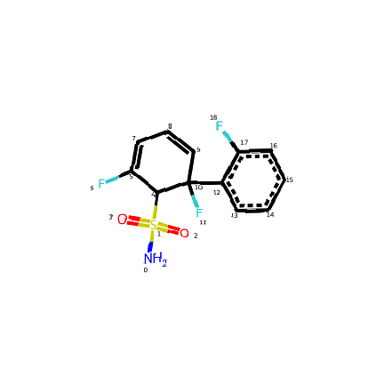 NS(=O)(=O)C1C(F)=CC=CC1(F)c1ccccc1F